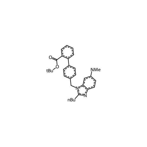 CCCCc1nc2ccc(NC)cc2n1Cc1ccc(-c2ccccc2C(=O)OC(C)(C)C)cc1